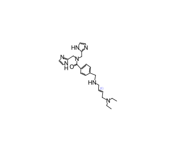 CCN(CC)C/C=C/CNCc1ccc(C(=O)N(Cc2ncc[nH]2)Cc2ncc[nH]2)cc1